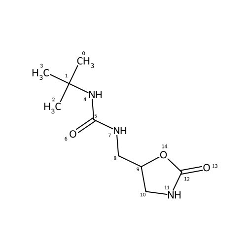 CC(C)(C)NC(=O)NCC1CNC(=O)O1